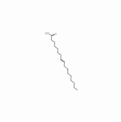 CCCCCCCCC=CCCCCCCC(=O)O